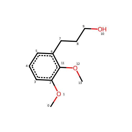 COc1c[c]cc(CCCO)c1OC